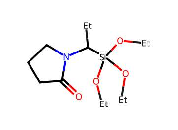 CCO[Si](OCC)(OCC)C(CC)N1CCCC1=O